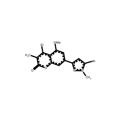 CCc1c(C)c(=O)oc2cc(-c3cc(C(C)C)n(C)n3)cc(OC)c12